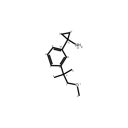 COCC(C)(C)c1cccc(C2(N)CC2)c1